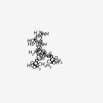 CC1=C(CNC(CSCC2=C(C)C=C3C(=O)[C@](C)(O)C4(CC4)C(C)=C32)C(=O)N[C@@H](CC(N)=O)C(=O)NCC(=O)N[C@@H](CCCNC(=N)N)C(=O)NC(CS)C(=O)O)C2=C(C)C3(CC3)[C@@](C)(O)C(=O)C2=C1